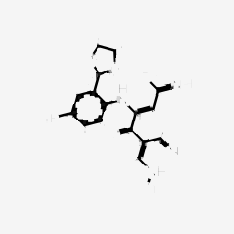 CCN/C=C(\C=N)C(=O)/C(=C/C(=N)F)Nc1ccc(F)cc1C1OCCO1